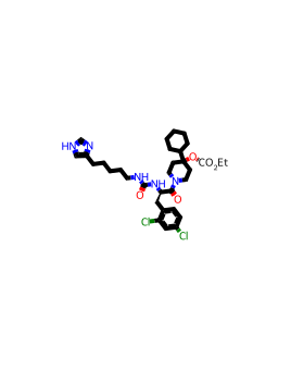 CCOC(=O)OC1(C2CCCCC2)CCN(C(=O)[C@@H](Cc2ccc(Cl)cc2Cl)NC(=O)NCCCCCc2c[nH]cn2)CC1